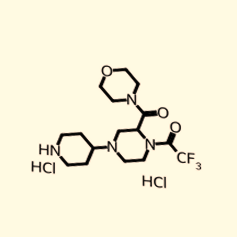 Cl.Cl.O=C(C1CN(C2CCNCC2)CCN1C(=O)C(F)(F)F)N1CCOCC1